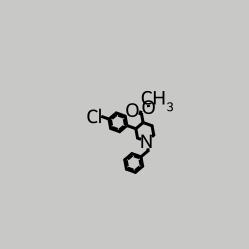 COC(=O)C1CCN(Cc2ccccc2)CC1c1ccc(Cl)cc1